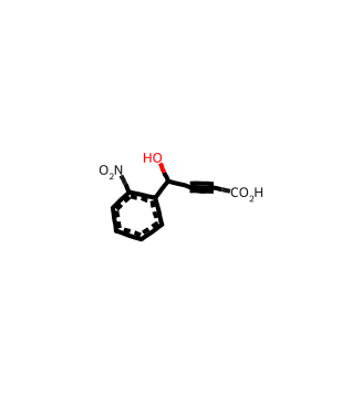 O=C(O)C#CC(O)c1ccccc1[N+](=O)[O-]